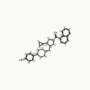 O=C(c1cccc2ccccc12)N1CC(CN2CCC(c3ccc(F)cc3)CC2)C(C2CC2)C1